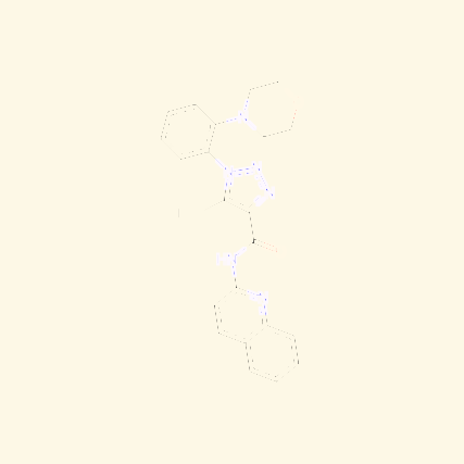 Cc1c(C(=O)Nc2ccc3ccccc3n2)nnn1-c1ccccc1N1CCOCC1